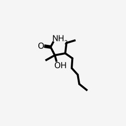 CCCCCC(CC)C(C)(O)C(N)=O